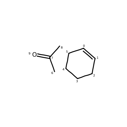 C1=CCCCC1.CC(C)=O